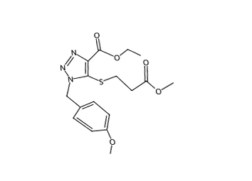 CCOC(=O)c1nnn(Cc2ccc(OC)cc2)c1SCCC(=O)OC